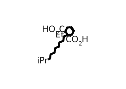 CCC1(C(=O)O)CC=CCC1(CCCCCCCCC(C)C)C(=O)O